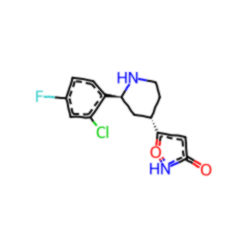 O=c1cc([C@H]2CCN[C@H](c3ccc(F)cc3Cl)C2)o[nH]1